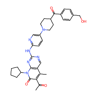 CC(=O)c1c(C)c2cnc(Nc3ccc(N4CCC(C(=O)c5ccc(CO)cc5)CC4)cn3)nc2n(C2CCCC2)c1=O